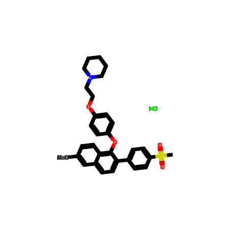 COc1ccc2c(Oc3ccc(OCCN4CCCCC4)cc3)c(-c3ccc(S(C)(=O)=O)cc3)ccc2c1.Cl